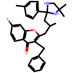 Cc1ccc(C2(CC(C)Cc3oc4cc(F)ccc4c(=O)c3Cc3ccccc3)NCC(C)(C)N2)cc1